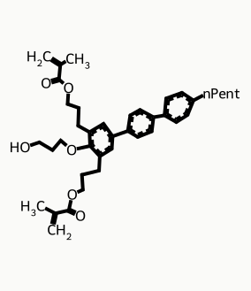 C=C(C)C(=O)OCCCc1cc(-c2ccc(-c3ccc(CCCCC)cc3)cc2)cc(CCCOC(=O)C(=C)C)c1OCCCO